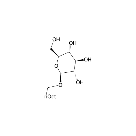 CCCCCCCCCO[C@H]1O[C@@H](CO)[C@H](O)[C@@H](O)[C@@H]1O